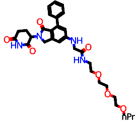 CCCOCCOCCOCCNC(=O)CNc1cc2c(c(-c3ccccc3)c1)C(=O)N(C1CCC(=O)NC1=O)C2